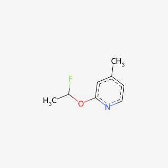 Cc1ccnc(OC(C)F)c1